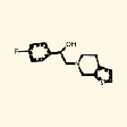 OC(CN1CCc2ccsc2C1)c1ccc(F)cc1